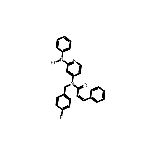 CCN(c1ccccc1)c1cc(N(Cc2ccc(F)cc2)C(=O)/C=C\c2ccccc2)ccn1